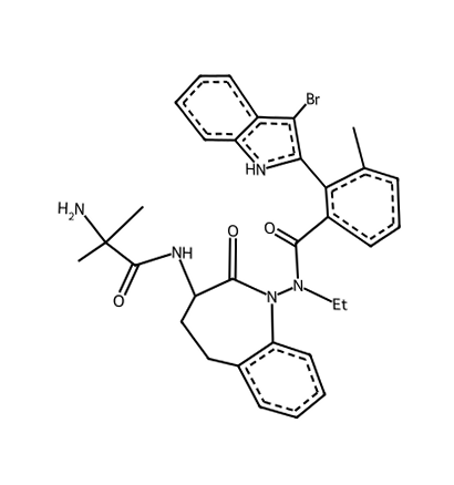 CCN(C(=O)c1cccc(C)c1-c1[nH]c2ccccc2c1Br)N1C(=O)C(NC(=O)C(C)(C)N)CCc2ccccc21